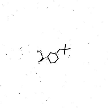 CC(C)(C)CN1CCC[C@H](C(=O)O)C1